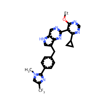 CCOc1ncnc(C2CC2)c1-c1ncc2[nH]cc(Cc3ccc(-c4nc(C(F)(F)F)cn4C)cc3)c2n1